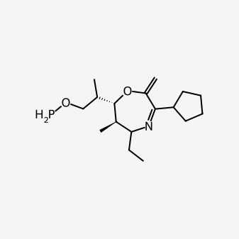 C=C1O[C@@H](C(C)COP)[C@H](C)C(CC)N=C1C1CCCC1